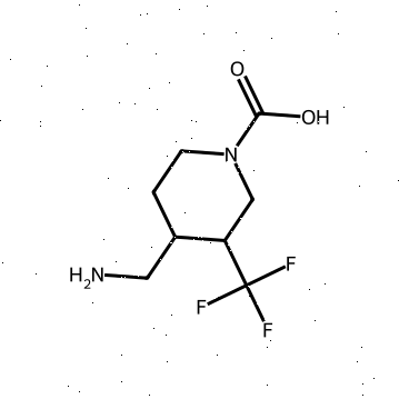 NCC1CCN(C(=O)O)CC1C(F)(F)F